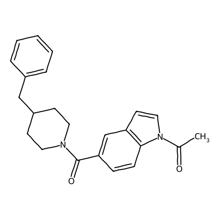 CC(=O)n1ccc2cc(C(=O)N3CCC(Cc4ccccc4)CC3)ccc21